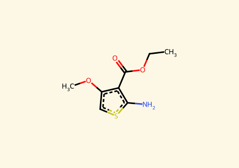 CCOC(=O)c1c(OC)csc1N